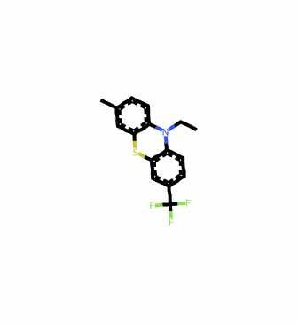 CCN1c2ccc(C)cc2Sc2cc(C(F)(F)F)ccc21